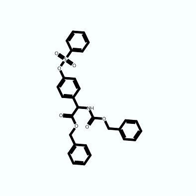 O=C(NC(C(=O)OCc1ccccc1)c1ccc(OS(=O)(=O)c2ccccc2)cc1)OCc1ccccc1